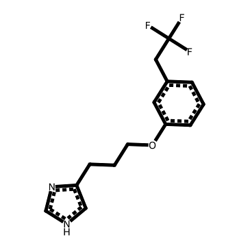 FC(F)(F)Cc1cccc(OCCCc2c[nH]cn2)c1